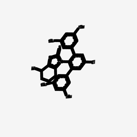 CCC1CCCc2c1sc(=S)n2-c1c(-c2cc(C(C)(C)C)cc(C(C)(C)C)c2)cc(Cl)cc1-c1cc(C(C)(C)C)cc(C(C)(C)C)c1